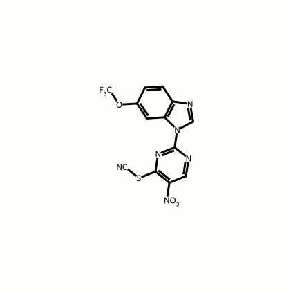 N#CSc1nc(-n2cnc3ccc(OC(F)(F)F)cc32)ncc1[N+](=O)[O-]